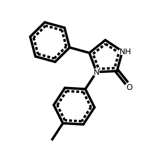 Cc1ccc(-n2c(-c3ccccc3)c[nH]c2=O)cc1